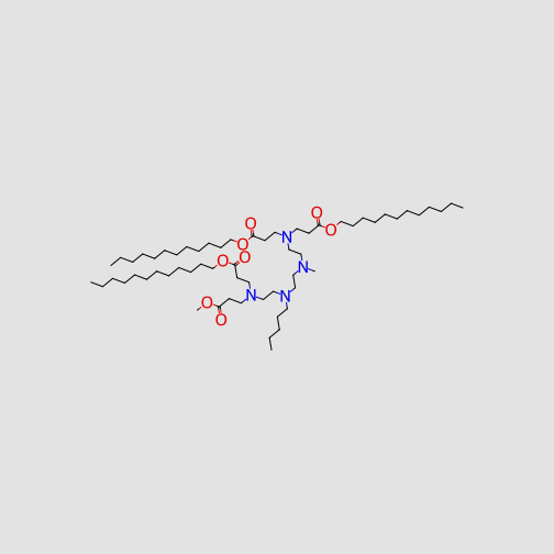 CCCCCCCCCCCCOC(=O)CCN(CCC(=O)OCCCCCCCCCCCC)CCN(C)CCN(CCCCC)CCN(CCC(=O)OC)CCC(=O)OCCCCCCCCCCCC